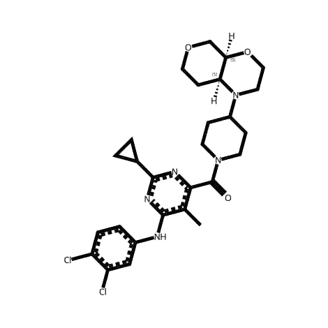 Cc1c(Nc2ccc(Cl)c(Cl)c2)nc(C2CC2)nc1C(=O)N1CCC(N2CCO[C@@H]3COCC[C@@H]32)CC1